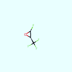 F[C@@H]1O[C@@H]1C(F)(F)F